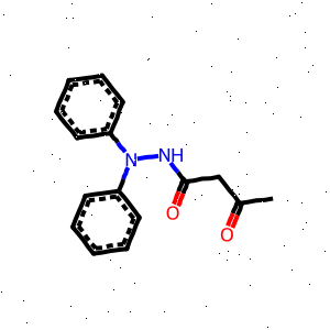 CC(=O)CC(=O)NN(c1ccccc1)c1ccccc1